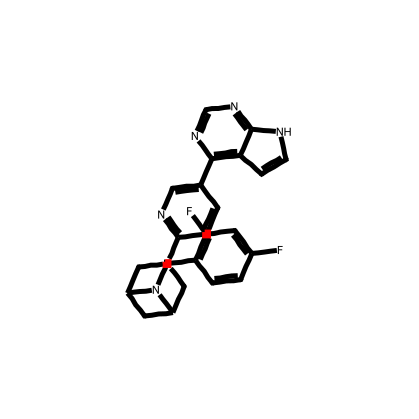 Fc1ccc(CN2C3CC2CN(c2ccc(-c4ncnc5[nH]ccc45)cn2)C3)c(F)c1